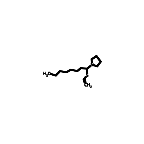 C=CSC(CCCCCCC)N1CCCC1